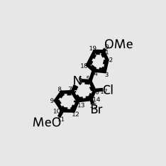 COc1ccc(-c2nc3ccc(OC)cc3c(Br)c2Cl)cc1